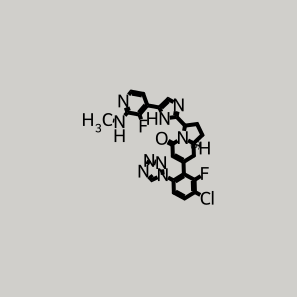 CNc1nccc(-c2cnc(C3CC[C@H]4CC(c5c(-n6cnnn6)ccc(Cl)c5F)=CC(=O)N34)[nH]2)c1F